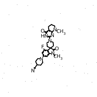 CN1CCCc2c1nc(N1CCC3(CC1)C(=O)N(C)c1cc(N4CCC(C#N)CC4)cc(F)c13)[nH]c2=O